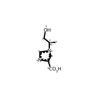 C[C@H](CO)n1cnc(C(=O)O)c1